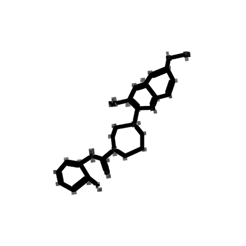 CCOc1ccc2nc(N3CCCN(C(=O)Nc4ccccc4F)CC3)c(C#N)cc2c1